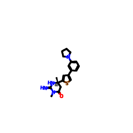 CN1C(=N)N[C@](C)(c2cc(-c3cccc(N4CCCC4)c3)cs2)CC1=O